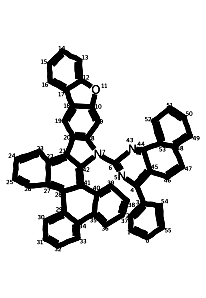 c1ccc(-c2nc(-n3c4cc5oc6ccccc6c5cc4c4c5ccccc5c5c6ccccc6c6ccccc6c5c43)nc3c2ccc2ccccc23)cc1